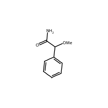 COC(C(N)=O)c1cc[c]cc1